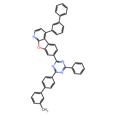 Cc1cccc(-c2ccc(-c3nc(-c4ccccc4)nc(-c4ccc5c(c4)oc4nccc(-c6cccc(-c7ccccc7)c6)c45)n3)cc2)c1